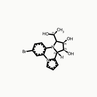 C[C@H](O)C1[C@@H](O)[C@@H](O)[C@@H]2c3cccn3-c3cc(Br)ccc3N12